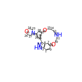 c1cc2[nH]nc3c2cc1OCCNCCCOc1cc-3cc(N2CCOCC2)c1